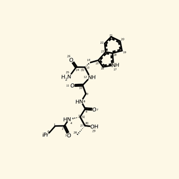 CC(C)CC(=O)N[C@H](C(=O)NCC(=O)N[C@@H](Cc1c[nH]c2ccccc12)C(N)=O)[C@@H](C)O